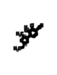 CC[C@@H]1CN(c2ccc(C#N)c(Cl)c2C)[C@H](C)O1